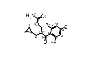 NC(=O)OC[C@H](CC1CC1)C(=O)c1c(F)cc(Cl)cc1F